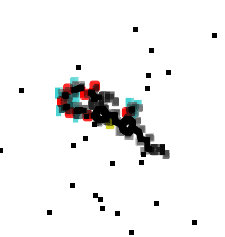 C=C(C)C(=O)OCC(F)(F)OC(F)(F)OC(F)(F)OC(F)(F)COc1ccc2cc(-c3ccc(CCCCC)cc3OC(F)(F)F)sc2c1